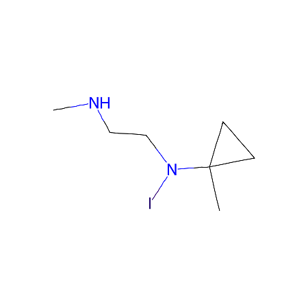 CNCCN(I)C1(C)CC1